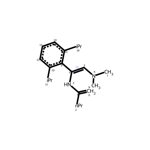 C=C(CCC)N/C(=C\N(C)C)c1c(C(C)C)cccc1C(C)C